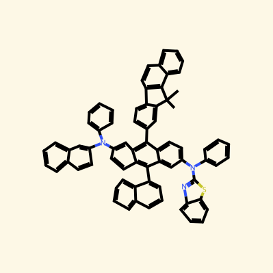 CC1(C)c2cc(-c3c4cc(N(c5ccccc5)c5ccc6ccccc6c5)ccc4c(-c4cccc5ccccc45)c4cc(N(c5ccccc5)c5nc6ccccc6s5)ccc34)ccc2-c2ccc3ccccc3c21